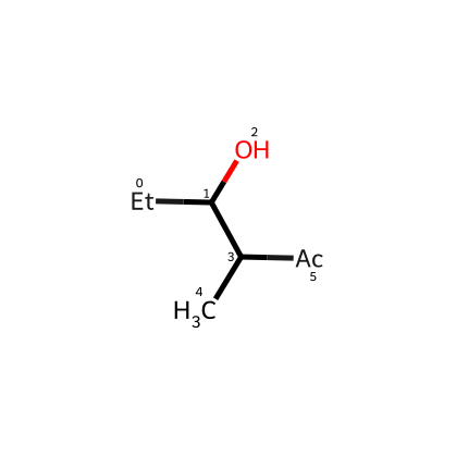 CCC(O)C(C)C(C)=O